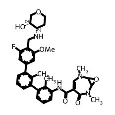 COc1cc(-c2cccc(-c3cccc(NC(=O)C4=CN(C)C5OC5N(C)C4=O)c3C)c2C)cc(F)c1CN[C@H]1CCOC[C@H]1O